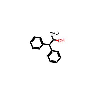 O=[C]C(O)C(c1ccccc1)c1ccccc1